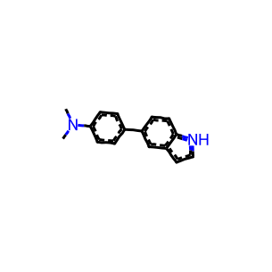 CN(C)c1ccc(-c2ccc3[nH]ccc3c2)cc1